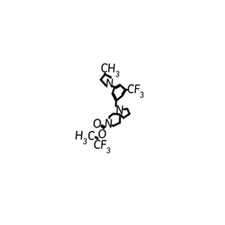 CC1CCN(c2cc(CN3CCCC34CCN(C(=O)OC(C)C(F)(F)F)CC4)cc(C(F)(F)F)c2)C1